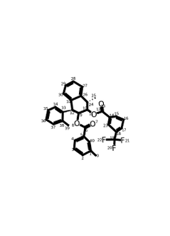 Cc1cccc(C(=O)OC2C(OC(=O)c3cccc(C(F)(F)F)c3)[C@@H](C)c3ccccc3[C@@H]2c2ccccc2C)c1